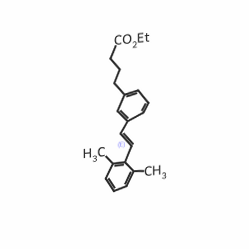 CCOC(=O)CCCc1cccc(/C=C/c2c(C)cccc2C)c1